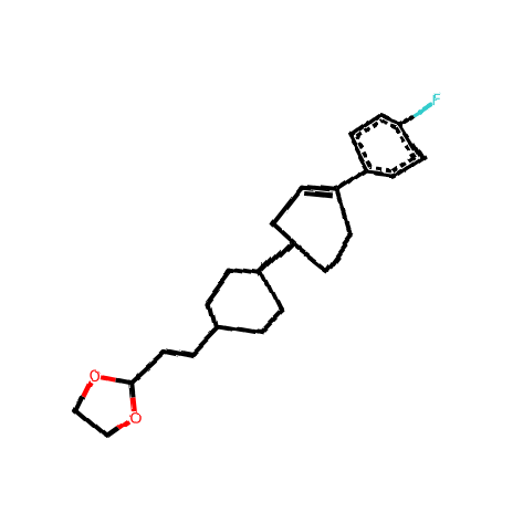 Fc1ccc(C2=CCC(C3CCC(CCC4OCCO4)CC3)CC2)cc1